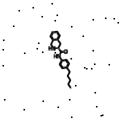 CCCCCc1ccc(NC(=O)[C@@H]2Cc3ccccc3CN2)cc1